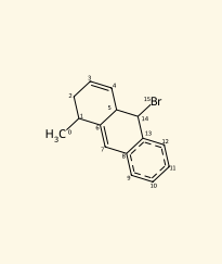 CC1CC=CC2C1=Cc1ccccc1C2Br